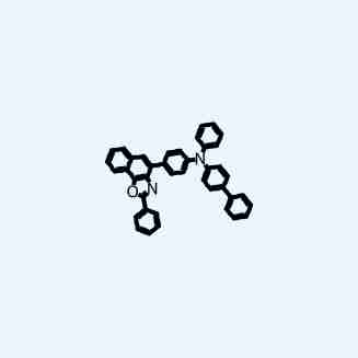 c1ccc(-c2ccc(N(c3ccccc3)c3ccc(-c4cc5ccccc5c5oc(-c6ccccc6)nc45)cc3)cc2)cc1